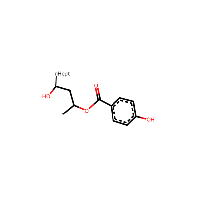 CCCCCCCC(O)CC(C)OC(=O)c1ccc(O)cc1